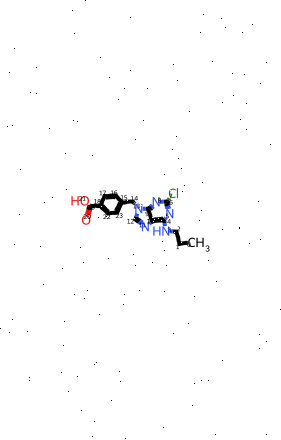 CCCNc1nc(Cl)nc2c1ncn2Cc1ccc(C(=O)O)cc1